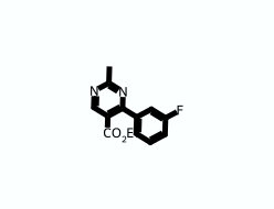 CCOC(=O)c1cnc(C)nc1-c1cccc(F)c1